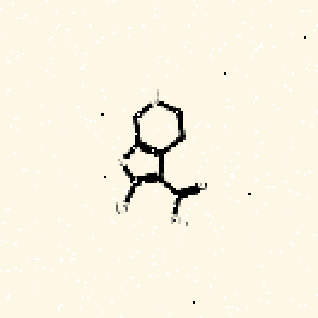 NC(=O)c1c(N)sc2c1CCNC2